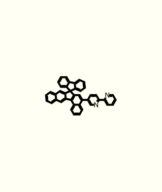 c1ccc(-c2ccc(-c3cc4c(c5ccccc35)-c3cc5ccccc5cc3C43c4ccccc4-c4ccccc43)cn2)nc1